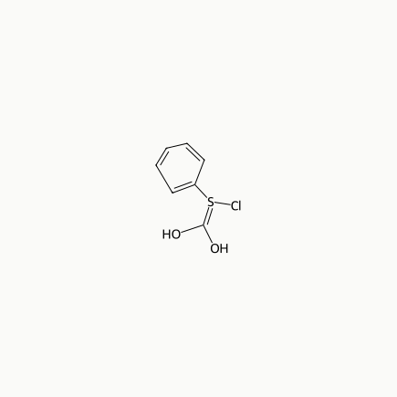 OC(O)=S(Cl)c1ccccc1